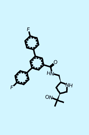 CC(C)(N=O)[C@@H]1CN[C@H](CNC(=O)c2cc(-c3ccc(F)cc3)cc(-c3ccc(F)cc3)c2)C1